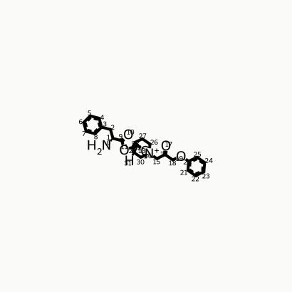 N[C@@H](Cc1ccccc1)C(=O)O[C@H]1C[N+]2(CC(=O)COc3ccccc3)CCC1CC2